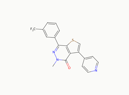 Cn1nc(-c2cccc(C(F)(F)F)c2)c2scc(-c3ccncc3)c2c1=O